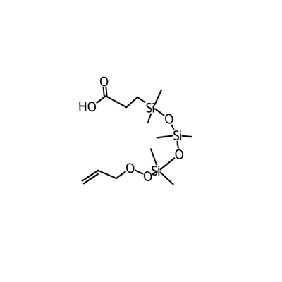 C=CCOO[Si](C)(C)O[Si](C)(C)O[Si](C)(C)CCC(=O)O